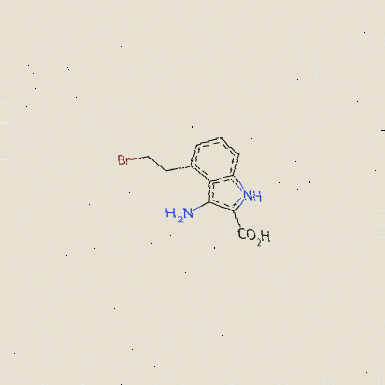 Nc1c(C(=O)O)[nH]c2cccc(CCBr)c12